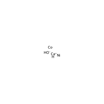 [CaH+].[Co].[Ni].[OH-]